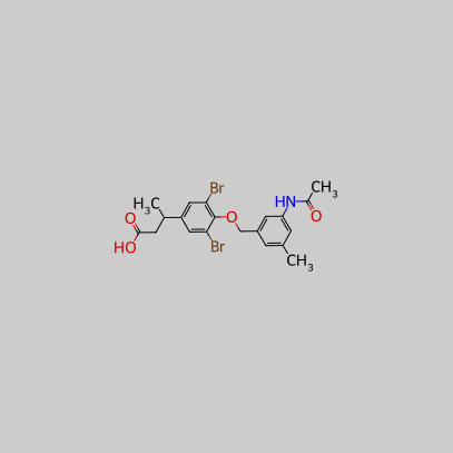 CC(=O)Nc1cc(C)cc(COc2c(Br)cc(C(C)CC(=O)O)cc2Br)c1